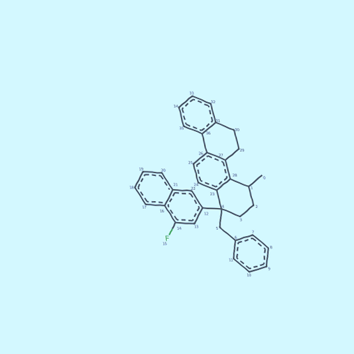 CC1CCC(Cc2ccccc2)(c2cc(F)c3ccccc3c2)c2ccc3c(c21)CCc1ccccc1-3